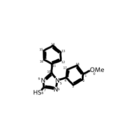 COc1ccc(-n2nc(S)nc2-c2ccccc2)cc1